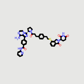 Nc1nccn2c([C@@H]3CCCN3C(=O)CCc3ccc(CCSc4cccc5c4CN(C4CCC(=O)NC4=O)C5=O)cc3)nc(-c3ccc(C(=O)Nc4ccccn4)cc3)c12